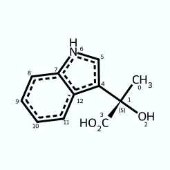 C[C@@](O)(C(=O)O)c1c[nH]c2ccccc12